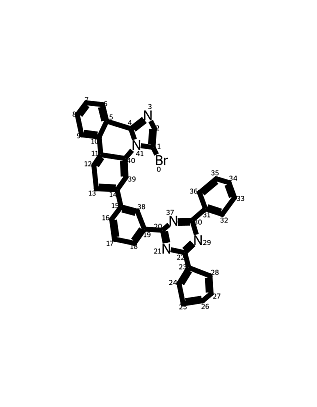 Brc1cnc2c3ccccc3c3ccc(-c4cccc(-c5nc(-c6ccccc6)nc(-c6ccccc6)n5)c4)cc3n12